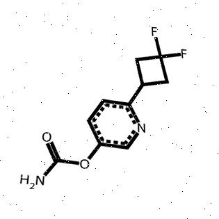 NC(=O)Oc1ccc(C2CC(F)(F)C2)nc1